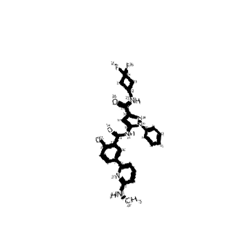 CNc1cccc(-c2ccc(Cl)c(C(=O)Nc3cc(C(=O)NC4CC(F)(F)C4)nn3-c3ccccc3)c2)n1